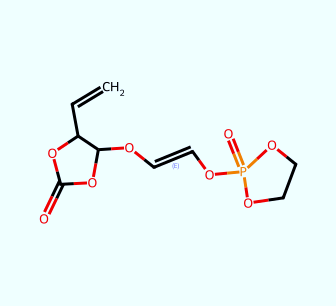 C=CC1OC(=O)OC1O/C=C/OP1(=O)OCCO1